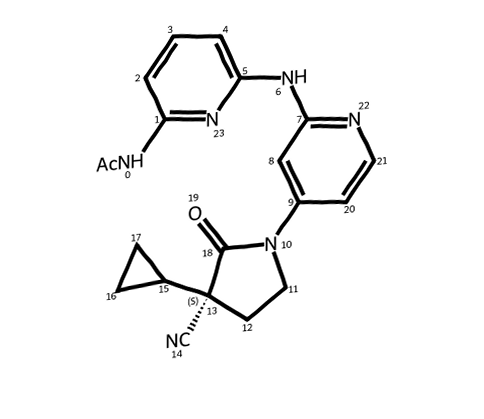 CC(=O)Nc1cccc(Nc2cc(N3CC[C@@](C#N)(C4CC4)C3=O)ccn2)n1